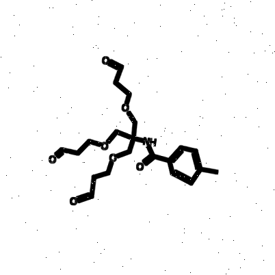 Cc1ccc(C(=O)NC(COCCC=O)(COCCC=O)COCCC=O)cc1